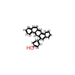 Oc1ccc(-c2cc3ccccc3c3cc4ccc5ccccc5c4cc23)cc1